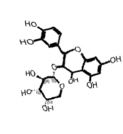 Oc1cc(O)c2c(c1)OC(c1ccc(O)c(O)c1)C(O[C@@H]1OC[C@H](O)[C@H](O)[C@H]1O)C2O